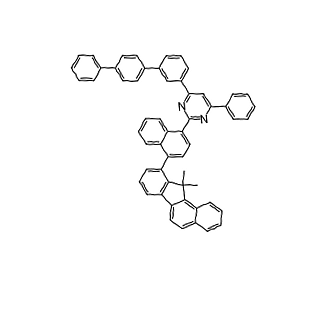 CC1(C)c2c(cccc2-c2ccc(-c3nc(-c4ccccc4)cc(-c4cccc(-c5ccc(-c6ccccc6)cc5)c4)n3)c3ccccc23)-c2ccc3ccccc3c21